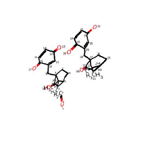 C=O.CC1(C)C2CCC1(CC1=CC(=O)C=CC1=O)C(=O)C2.CC1(C)C2CCC1(CC1=CC(=O)C=CC1=O)C(=O)C2